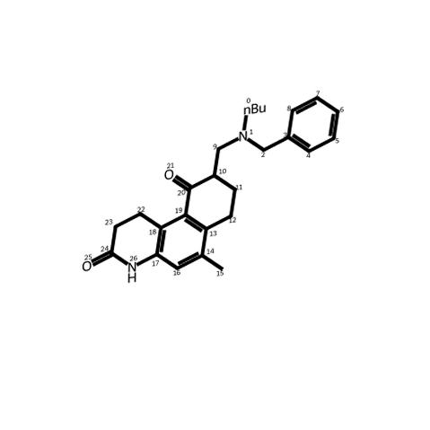 CCCCN(Cc1ccccc1)CC1CCc2c(C)cc3c(c2C1=O)CCC(=O)N3